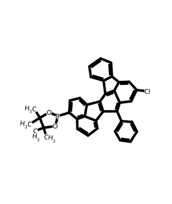 CC1(C)OB(c2ccc3c4c2cccc4c2c(-c4ccccc4)c4cc(Cl)cc5c6ccccc6c(c45)c32)OC1(C)C